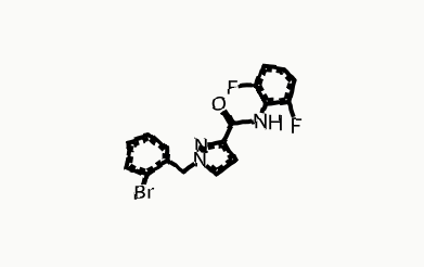 O=C(Nc1c(F)cccc1F)c1ccn(Cc2ccccc2Br)n1